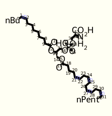 CCCC/C=C\CCCCCCCC(=O)O[C@H](COC(=O)CCC/C=C\C/C=C\C/C=C\C/C=C\CCCCC)COP(=O)(O)OC[C@H](N)C(=O)O